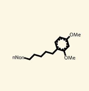 CCCCCCCCCCCCCCc1c[c]c(OC)cc1OC